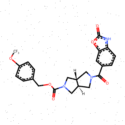 O=C(OCc1ccc(OC(F)(F)F)cc1)N1C[C@@H]2CN(C(=O)c3ccc4[nH]c(=O)oc4c3)C[C@H]2C1